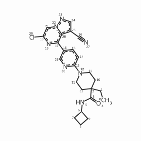 CCC1(C(=O)NC2CCC2)CCN(c2ccc(-c3nc(Cl)cn4ncc(C#N)c34)cn2)CC1